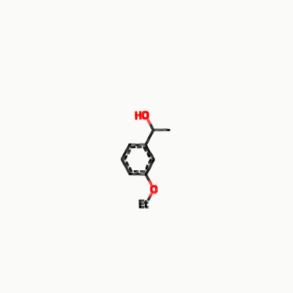 CCOc1cccc(C(C)O)c1